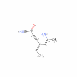 C/C=C(C#CC(=O)C#N)\C=C(\C)N